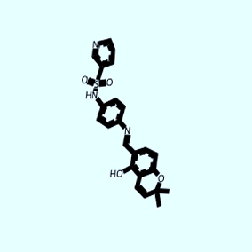 CC1(C)C=Cc2c(ccc(C=Nc3ccc(NS(=O)(=O)c4cccnc4)cc3)c2O)O1